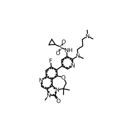 CN(C)CCCN(C)c1ncc(-c2c(F)cc3ncc4c5c3c2OCC(C)(C)n5c(=O)n4C)cc1NS(=O)(=O)C1CC1